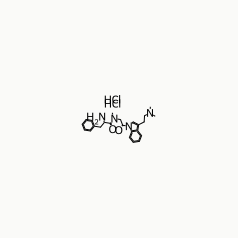 CN(C)CCc1cn(C(=O)CN(C)C(=O)C(N)Cc2ccccc2)c2ccccc12.Cl.Cl